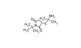 CC(C)(N)SC1CC(=O)N(C(C)(C)C)C1=O